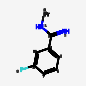 CC(C)NC(=N)c1cccc(F)c1